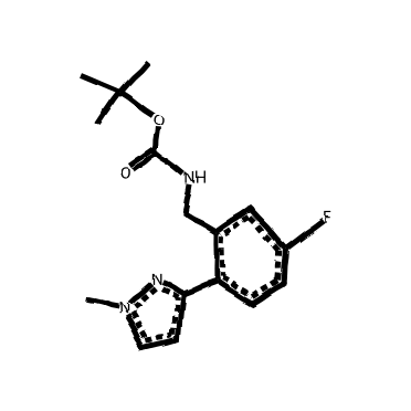 Cn1ccc(-c2ccc(F)cc2CNC(=O)OC(C)(C)C)n1